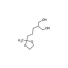 CC1(CCCC(CO)CO)OCCO1